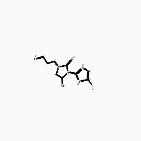 O=C1N(CCCCl)CC(O)N1c1ncc(F)s1